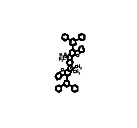 C[Si]1(C)c2cc3c(cc2-c2c1cc(-c1cc(-c4ccccc4)cc(-c4ccccc4)c1)c1c2oc2ccccc21)[Si](C)(C)c1cc(-c2cc(-c4ccccc4)cc(-c4ccccc4)c2)c2c(oc4ccccc42)c1-3